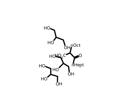 CCCCCCCCC(C(=O)O)C(=O)CCCCCCC.OCC(O)CO.OCC(O)CO.OCC(O)CO